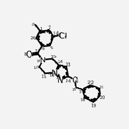 Cc1cc(Cl)cc(C(=O)N2CCn3nc(OCc4ccccc4)cc3C2)c1